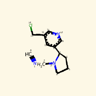 C#N.CN1CCCC1c1cncc(CCl)c1